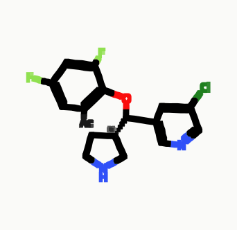 CC(=O)c1cc(F)cc(F)c1OC(c1cncc(Cl)c1)[C@H]1CCNC1